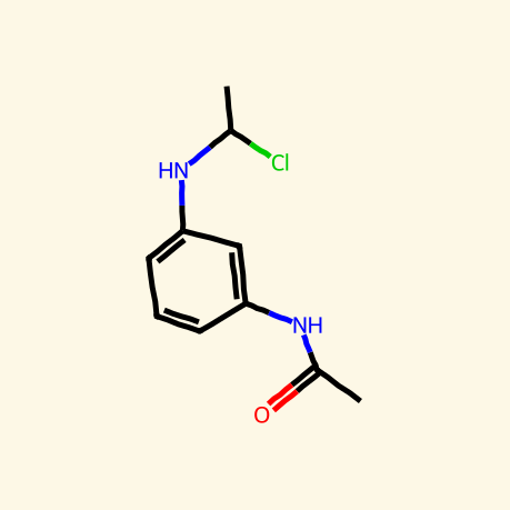 CC(=O)Nc1cccc(NC(C)Cl)c1